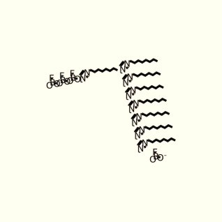 CCCCCCCCn1cc[n+](C)c1.CCCCCCCCn1cc[n+](C)c1.CCCCCCCCn1cc[n+](C)c1.CCCCCCCCn1cc[n+](C)c1.CCCCCCCCn1cc[n+](C)c1.CCCCCCCCn1cc[n+](C)c1.CCCCCCCCn1cc[n+](C)c1.CCCCCCCCn1cc[n+](C)c1.[O-]B([O-])F.[O-]B([O-])F.[O-]B([O-])F.[O-]B([O-])F